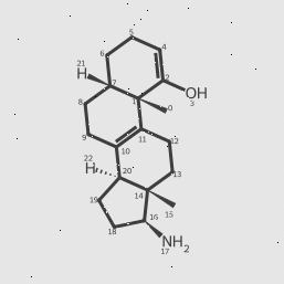 C[C@]12C(O)=CCC[C@H]1CCC1=C2CC[C@]2(C)[C@@H](N)CC[C@@H]12